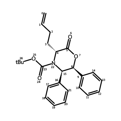 C=CCC[C@@H]1C(=O)O[C@@H](c2ccccc2)[C@@H](c2ccccc2)N1C(=O)OC(C)(C)C